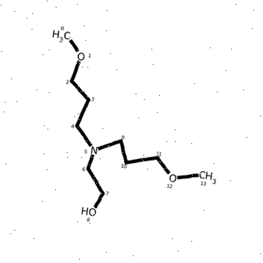 COCCCN(CCO)CCCOC